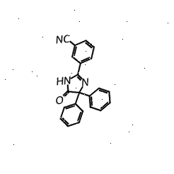 N#Cc1cccc(C2=NC(c3ccccc3)(c3ccccc3)C(=O)N2)c1